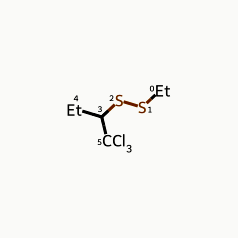 CCSSC(CC)C(Cl)(Cl)Cl